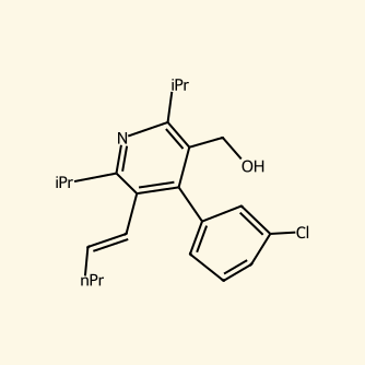 CCCC=Cc1c(C(C)C)nc(C(C)C)c(CO)c1-c1cccc(Cl)c1